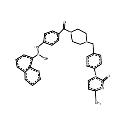 Nc1ccn(-c2ccc(CN3CCN(C(=O)c4ccc(NP(O)c5cccc6cccnc56)cc4)CC3)cn2)c(=O)n1